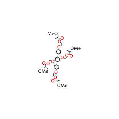 C=C(COC)C(=O)O/C=C\Oc1ccc(-c2cc(O/C=C\OC(=O)C(C)COC)c(-c3ccc(O/C=C\OC(=O)C(=C)COC)cc3)cc2O/C=C\OC(=O)C(=C)COC)cc1